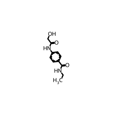 CCNC(=O)c1ccc(NC(=O)CO)cc1